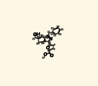 COC(=O)c1ccc(-c2nn(Cc3ccccc3)c3cc(CO)ccc23)o1